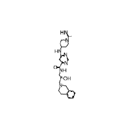 CC(=N)N1CCC(Nc2cc(C(=O)NC[C@H](O)CN3CCc4ccccc4C3)ncn2)CC1